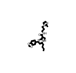 CCCCc1cc(-c2ccc3c(c2)OCO3)nc2c(C(=O)NCCCn3ccnc3C)cnn12